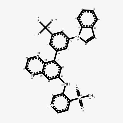 CS(=O)(=O)c1ccncc1Nc1cc(-c2cc([SH]3C=Cc4ccccc43)cc(C(F)(F)F)c2)c2nccnc2c1